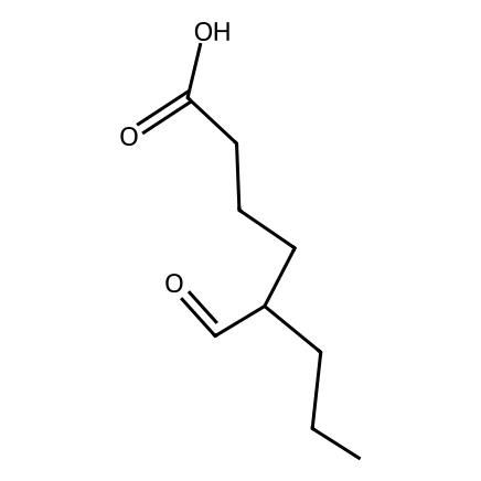 CCCC(C=O)CCCC(=O)O